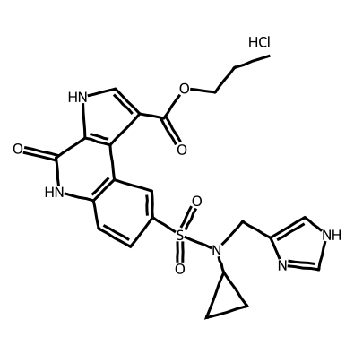 CCCOC(=O)c1c[nH]c2c(=O)[nH]c3ccc(S(=O)(=O)N(Cc4c[nH]cn4)C4CC4)cc3c12.Cl